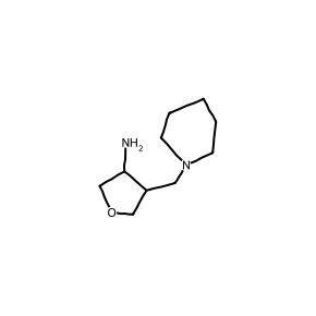 NC1COCC1CN1CCCCC1